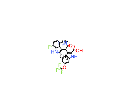 Cc1[nH]c2c(F)ccc(C)c2c1C(C(N)=O)c1c(C(=O)O)[nH]c2cc(OC(F)(F)F)ccc12